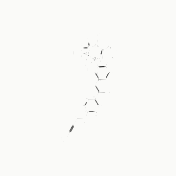 CC#CCOc1cnc(/C(F)=C/c2ccc(F)c([C@@]3(C)N=C(N)N(C)S(=O)(=O)C3(C)C)c2)cn1